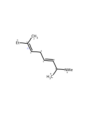 CC/C(C)=C/CC=CC(C)NC